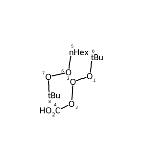 CC(C)(C)OOOC(=O)O.CCCCCCOOC(C)(C)C